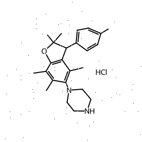 Cc1ccc(C2c3c(C)c(N4CCNCC4)c(C)c(C)c3OC2(C)C)cc1.Cl